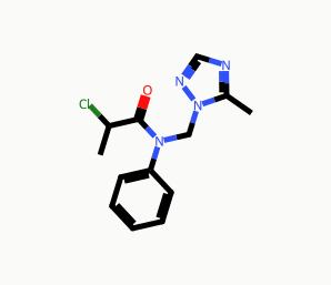 Cc1ncnn1CN(C(=O)C(C)Cl)c1ccccc1